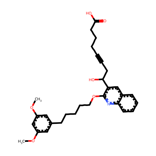 COc1cc(CCCCCOc2nc3ccccc3cc2C(O)CC#CCCCC(=O)O)cc(OC)c1